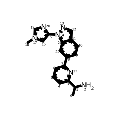 CC(N)c1cccc(-c2ccc3cnn(-c4cn(C)cn4)c3c2)n1